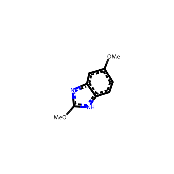 COc1ccc2[nH]c(OC)nc2c1